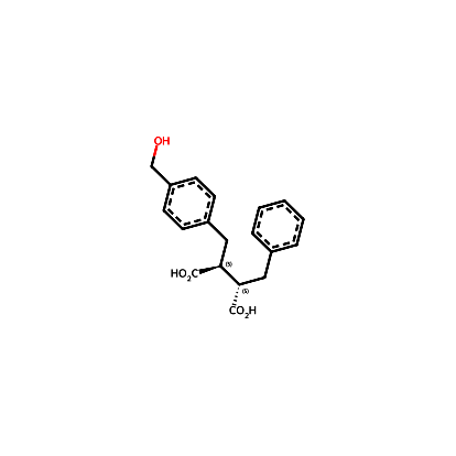 O=C(O)[C@@H](Cc1ccccc1)[C@H](Cc1ccc(CO)cc1)C(=O)O